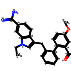 CCn1cc(Cc2ccccc2-c2ccc(OC)cc2C(=O)O)c2ccc(C(=N)N)cc21